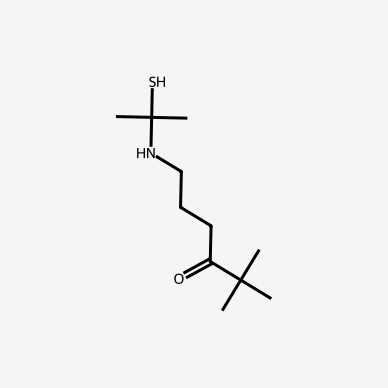 CC(C)(S)NCCCC(=O)C(C)(C)C